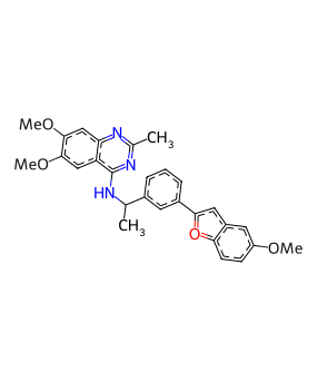 COc1ccc2oc(-c3cccc(C(C)Nc4nc(C)nc5cc(OC)c(OC)cc45)c3)cc2c1